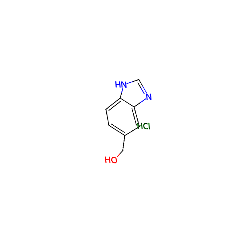 Cl.OCc1ccc2[nH]cnc2c1